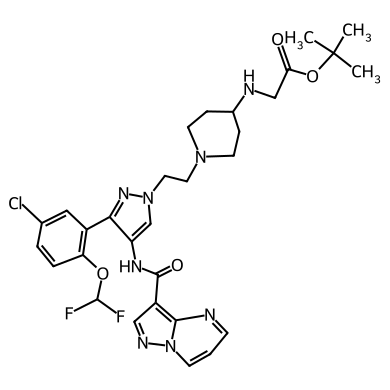 CC(C)(C)OC(=O)CNC1CCN(CCn2cc(NC(=O)c3cnn4cccnc34)c(-c3cc(Cl)ccc3OC(F)F)n2)CC1